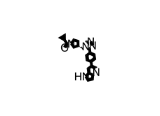 O=C(C1CC1)N1CC[C@H](Cn2cnnc2-c2ccc(-c3cnc4cc[nH]c4c3)cc2)C1